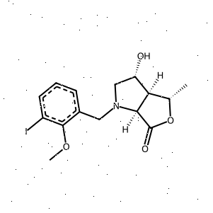 COc1c(I)cccc1CN1C[C@H](O)[C@H]2[C@H](C)OC(=O)[C@H]21